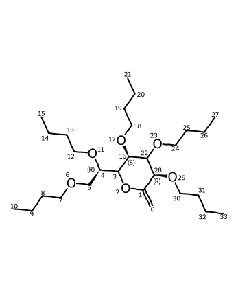 C=C1OC([C@@H](COCCCC)OCCCC)[C@@H](OCCCC)C(OCCCC)[C@H]1OCCCC